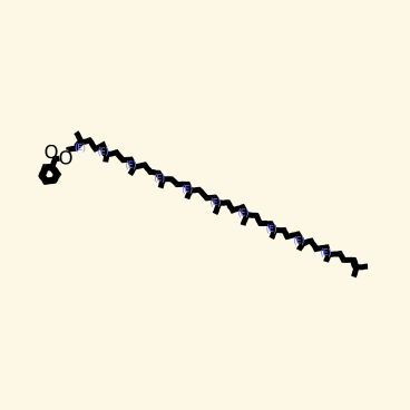 CC(C)=CCC/C(C)=C/CC/C(C)=C/CC/C(C)=C/CC/C(C)=C/CC/C(C)=C/CC/C(C)=C/CC/C(C)=C/CC/C(C)=C/CC/C(C)=C/CC/C(C)=C/COC(=O)c1ccccc1